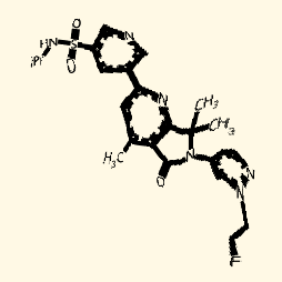 Cc1cc(-c2cncc(S(=O)(=O)NC(C)C)c2)nc2c1C(=O)N(c1cnn(CCF)c1)C2(C)C